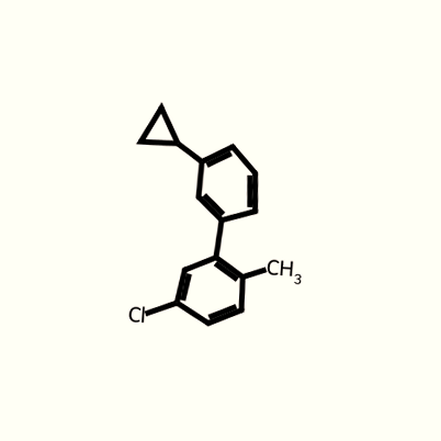 Cc1ccc(Cl)cc1-c1cccc(C2CC2)c1